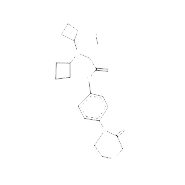 NC[C@H](C(=O)Nc1ccc(N2CCOCC2=O)cc1)N(C1CCC1)C1CCC1